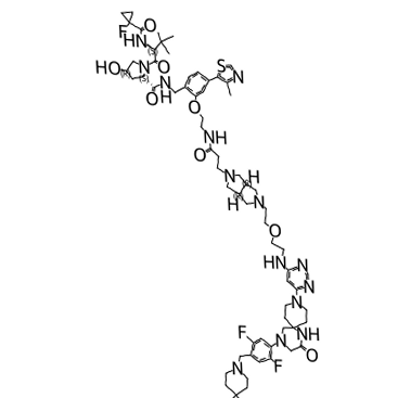 Cc1ncsc1-c1ccc(CNC(=O)[C@@H]2C[C@@H](O)CN2C(=O)[C@@H](NC(=O)C2(F)CC2)C(C)(C)C)c(OCCNC(=O)CCN2C[C@H]3CN(CCOCCNc4cc(N5CCC6(CC5)CN(c5cc(F)c(CN7CCC(C)(C)CC7)cc5F)CC(=O)N6)ncn4)C[C@H]3C2)c1